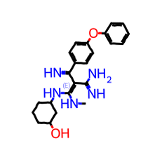 CN/C(NC1CCCC(O)C1)=C(\C(=N)N)C(=N)c1ccc(Oc2ccccc2)cc1